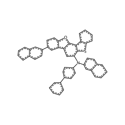 c1ccc(-c2ccc(N(c3ccc4ccccc4c3)c3cc4c5cc(-c6ccc7ccccc7c6)ccc5oc4c4c3sc3ccccc34)cc2)cc1